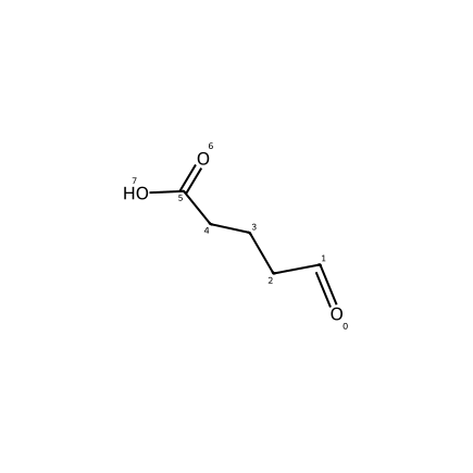 O=CCCCC(=O)O